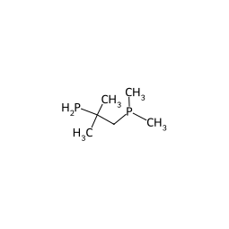 CP(C)CC(C)(C)P